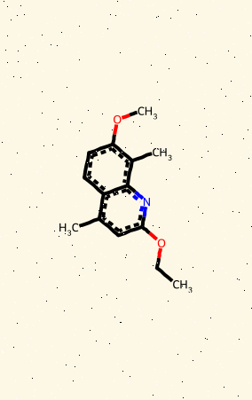 CCOc1cc(C)c2ccc(OC)c(C)c2n1